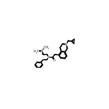 CN(C)CCN(CCc1ccccc1)C(=O)Cc1cccc2c1CCN(CC1CC1)C2